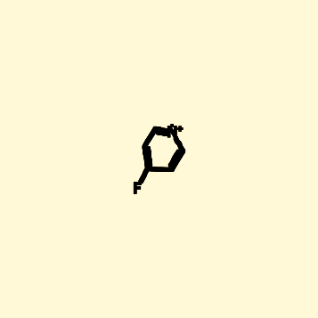 FC1=CC=[N+]C=C1